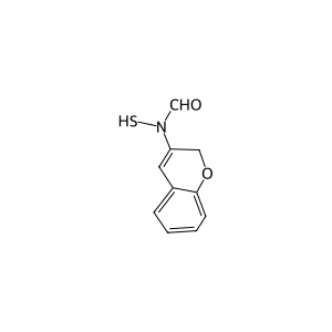 O=CN(S)C1=Cc2ccccc2OC1